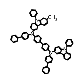 CC1C=Cc2c(n(-c3ccccc3)c3ccc(N(c4ccc(-c5ccccc5)cc4)c4ccc(-c5ccc(N(c6ccc(-c7ccccc7)cc6)c6ccc7c(c6)c6ccccc6n7-c6ccccc6)cc5)cc4)cc23)C1